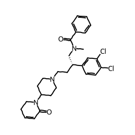 CN(C[C@@H](CCN1CCC(N2CCC=CC2=O)CC1)c1ccc(Cl)c(Cl)c1)C(=O)c1ccccc1